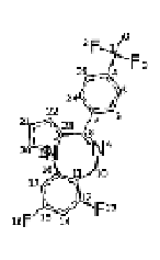 CC(F)(F)c1ccc(C2=NCc3c(F)cc(F)cc3-n3cccc32)cc1